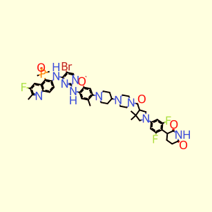 COc1cc(N2CCC(N3CCN(C(=O)C4CN(c5cc(F)c(C6CCC(=O)NC6=O)c(F)c5)CC4(C)C)CC3)CC2)c(C)cc1Nc1ncc(Br)c(Nc2ccc3nc(C)c(F)cc3c2P(C)(C)=O)n1